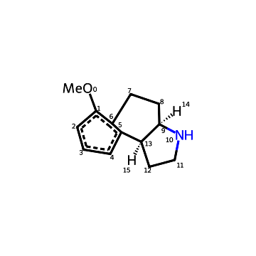 COc1cccc2c1CC[C@H]1NCC[C@@H]21